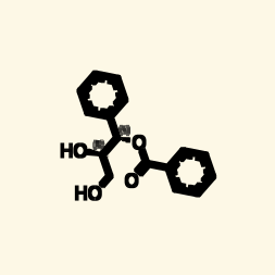 O=C(O[C@@H](c1ccccc1)[C@H](O)CO)c1ccccc1